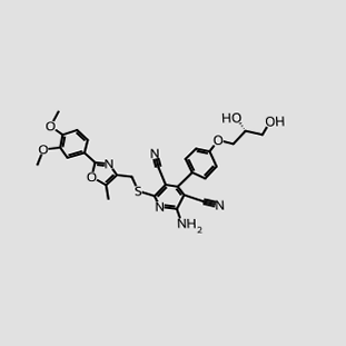 COc1ccc(-c2nc(CSc3nc(N)c(C#N)c(-c4ccc(OC[C@H](O)CO)cc4)c3C#N)c(C)o2)cc1OC